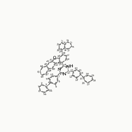 c1ccc(-c2ccc(C3=NC(c4ccc(-c5ccccc5)cc4)NC(c4ccc(-c5cccc6ccccc56)c5oc6cc7ccccc7cc6c45)=N3)cc2)cc1